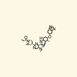 C=CC(=O)N1CC=C(c2ncc(N=C)c(/C(=N\C)Nc3ccc(Oc4ccn5ncnc5c4)c(C)c3F)n2)C[C@H]1C